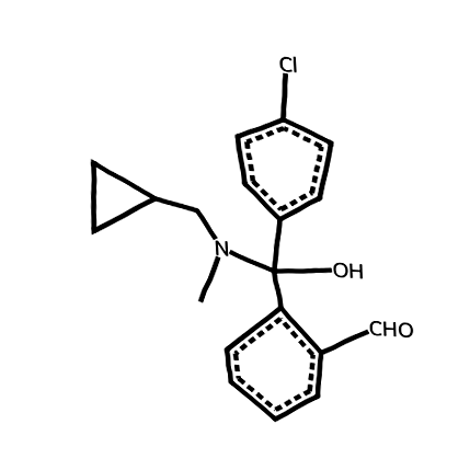 CN(CC1CC1)C(O)(c1ccc(Cl)cc1)c1ccccc1C=O